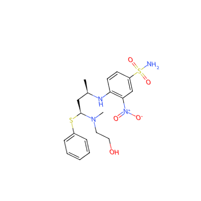 C[C@H](C[C@H](Sc1ccccc1)N(C)CCO)Nc1ccc(S(N)(=O)=O)cc1[N+](=O)[O-]